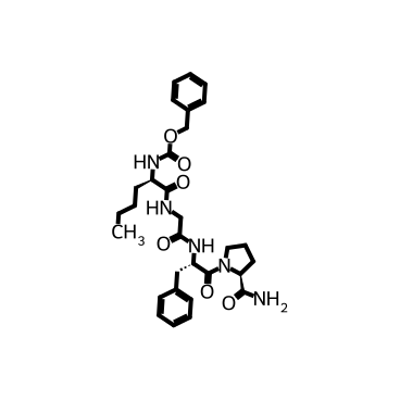 CCCC[C@@H](NC(=O)OCc1ccccc1)C(=O)NCC(=O)N[C@@H](Cc1ccccc1)C(=O)N1CCC[C@H]1C(N)=O